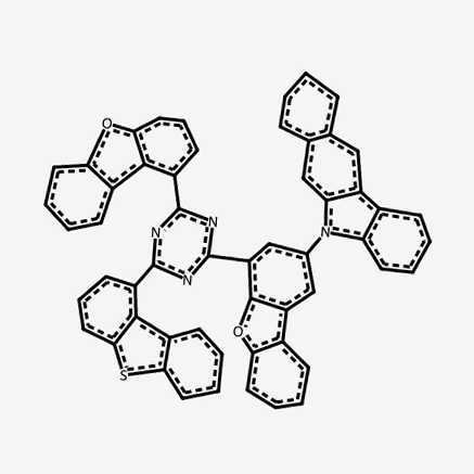 c1ccc2cc3c(cc2c1)c1ccccc1n3-c1cc(-c2nc(-c3cccc4oc5ccccc5c34)nc(-c3cccc4sc5ccccc5c34)n2)c2oc3ccccc3c2c1